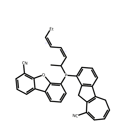 CC/C=C\C=C/C(C)P(c1cccc2c1CC1=C2CC=CC=C1C#N)c1cccc2c1oc1c(C#N)cccc12